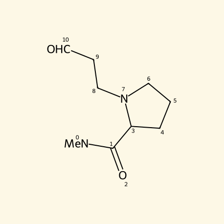 CNC(=O)C1CCCN1CCC=O